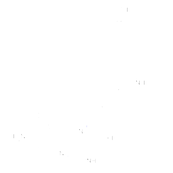 COc1cccc(NC(=O)CS/C(C)=N/C(N)=N\C(=C\N)SC)c1